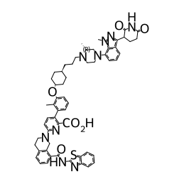 Cc1c(O[C@H]2CC[C@H](CCCN3CCN(c4cccc5c(C6CCC(=O)NC6=O)nn(C)c45)C[C@H]3C)CC2)cccc1-c1ccc(N2CCc3cccc(C(=O)Nc4nc5ccccc5s4)c3C2)nc1C(=O)O